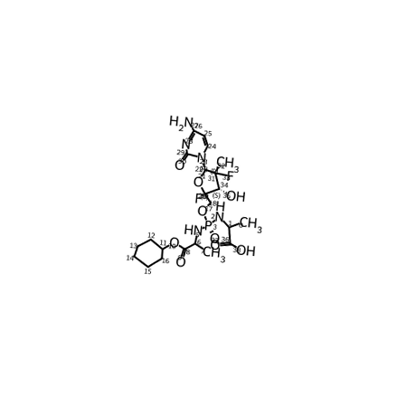 CC(NP(=O)(NC(C)C(=O)OC1CCCCC1)OC[C@@]1(F)O[C@@H](n2ccc(N)nc2=O)[C@](C)(F)[C@@H]1O)C(=O)O